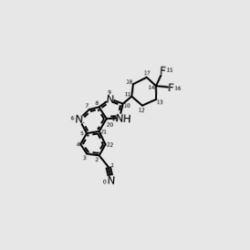 N#Cc1ccc2ncc3nc(C4CCC(F)(F)CC4)[nH]c3c2c1